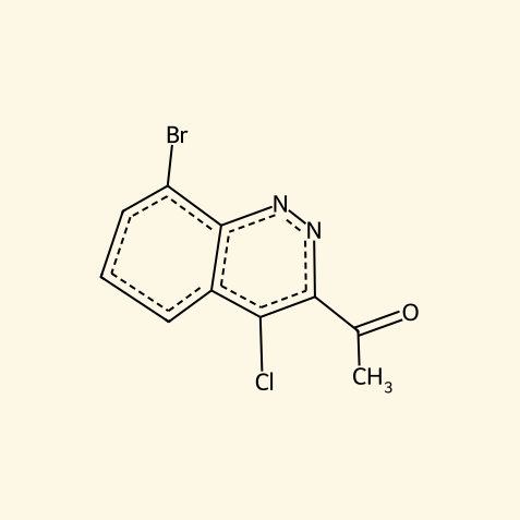 CC(=O)c1nnc2c(Br)cccc2c1Cl